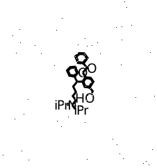 CC(C)N(CCCCC(c1ccccc1)c1cc(CO)ccc1OC(=O)c1ccccc1)C(C)C